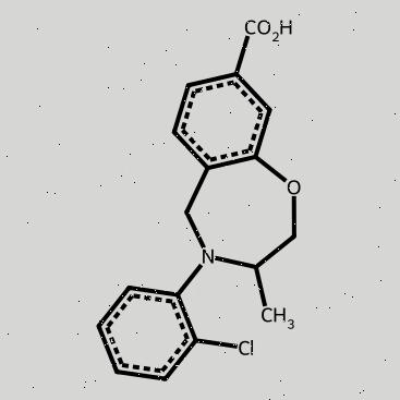 CC1COc2cc(C(=O)O)ccc2CN1c1ccccc1Cl